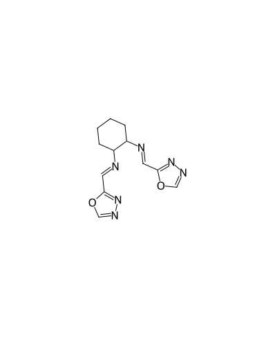 C(=N\C1CCCCC1/N=C/c1nnco1)/c1nnco1